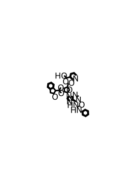 O=C(Nc1ccccc1)Nc1ncnc2c1ncn2C1OC(COc2ncccc2C(=O)O)C2OC(C3C(=O)Cc4ccccc43)OC21